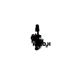 COC(=O)NC(C(=O)NC(Cc1ccc(C#Cc2ccc(N3CC4CCC(C3)N4C3COC3)nc2)cc1)C(O)CN(Cc1c(F)cc(-c2ccccn2)cc1Cl)NC(=O)C(NC(=O)O)C(C)(C)CF)C(C)(C)CF